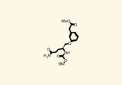 COC(=O)Cc1cccc(OC[C@H](CCC(N)=O)NC(=O)OC(C)(C)C)c1